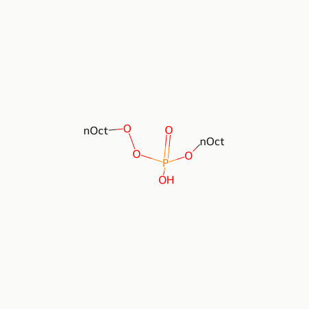 CCCCCCCCOOP(=O)(O)OCCCCCCCC